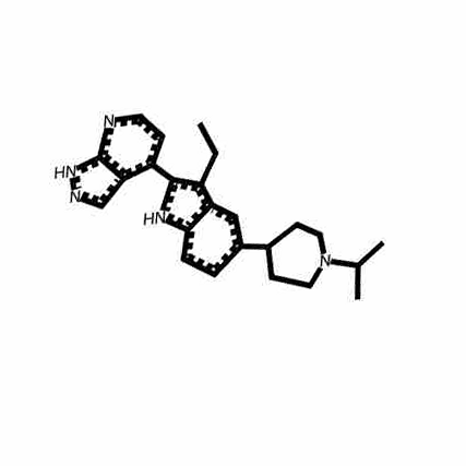 CCc1c(-c2ccnc3[nH]ncc23)[nH]c2ccc(C3CCN(C(C)C)CC3)cc12